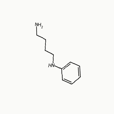 NCCCCNc1ccccc1